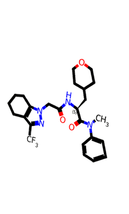 CN(C(=O)[C@H](CC1CCOCC1)NC(=O)Cn1nc(C(F)(F)F)c2c1CCCC2)c1ccccc1